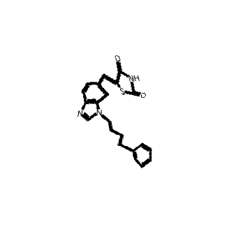 O=C1NC(=O)C(=Cc2ccc3ncn(CCCCc4ccccc4)c3c2)S1